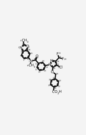 Cc1nc2ccc(N(C)C(=O)c3cccc(-n4nc(C(F)F)c(Cl)c4OCc4ccc(C(=O)O)cc4)c3)cc2o1